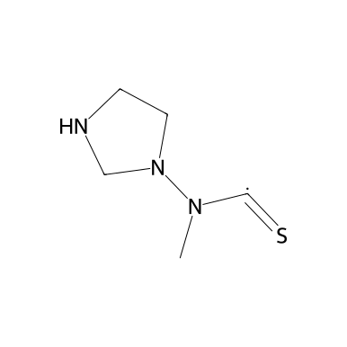 CN([C]=S)N1CCNC1